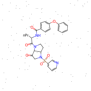 CCCC(NC(=O)c1ccc(Oc2ccccc2)cc1)C(=O)N1CCC2C1C(=O)CN2S(=O)(=O)c1cccnc1